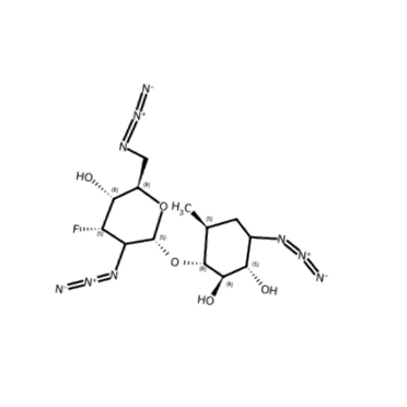 C[C@H]1CC(N=[N+]=[N-])[C@H](O)[C@@H](O)[C@@H]1O[C@H]1O[C@H](CN=[N+]=[N-])[C@@H](O)[C@@H](F)C1N=[N+]=[N-]